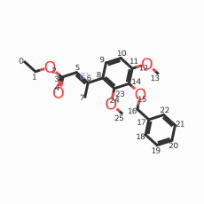 CCOC(=O)/C=C(\C)c1ccc(OC)c(OCc2ccccc2)c1OC